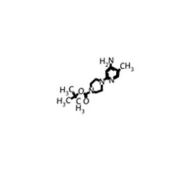 Cc1cnc(N2CCN(C(=O)OC(C)(C)C)CC2)cc1N